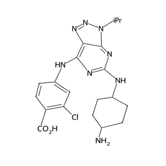 CC(C)n1nnc2c(Nc3ccc(C(=O)O)c(Cl)c3)nc(NC3CCC(N)CC3)nc21